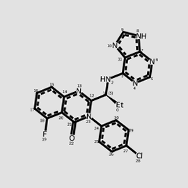 CC[C@H](Nc1ncnc2[nH]cnc12)c1nc2cccc(F)c2c(=O)n1-c1ccc(Cl)cc1